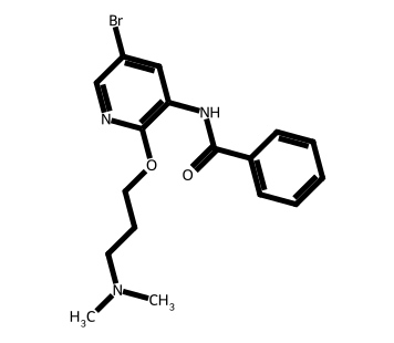 CN(C)CCCOc1ncc(Br)cc1NC(=O)c1ccccc1